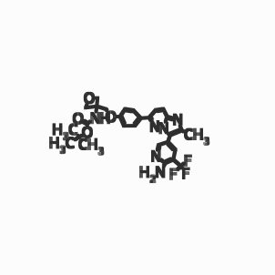 Cc1nc2ccc(-c3ccc(OCC4(NC(=O)OC(C)(C)C)COC4)cc3)nn2c1-c1cnc(N)c(C(F)(F)F)c1